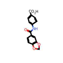 O=C(O)c1ccc(NC(=O)c2ccc3c(c2)OCO3)cc1